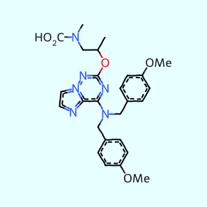 COc1ccc(CN(Cc2ccc(OC)cc2)c2nc(OC(C)CN(C)C(=O)O)nn3ccnc23)cc1